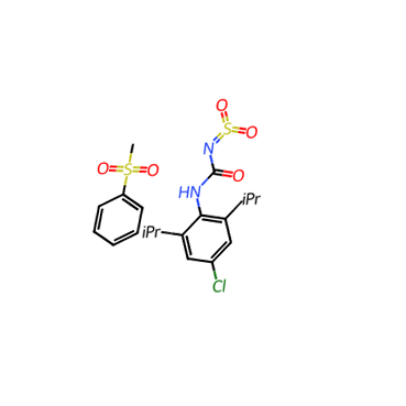 CC(C)c1cc(Cl)cc(C(C)C)c1NC(=O)N=S(=O)=O.CS(=O)(=O)c1ccccc1